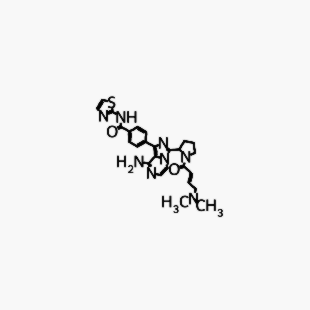 CN(C)CC=CC(=O)N1CCCC1c1nc(-c2ccc(C(=O)Nc3nccs3)cc2)c2c(N)nccn12